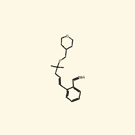 CC(C)(CC=Cc1ccccc1C=N)SCC1CCOCC1